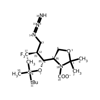 CC1(C)OC[C@H]([C@H](O[Si](C)(C)C(C)(C)C)[C@H](CN=[N+]=N)C(F)(F)F)N1C(=O)[O-]